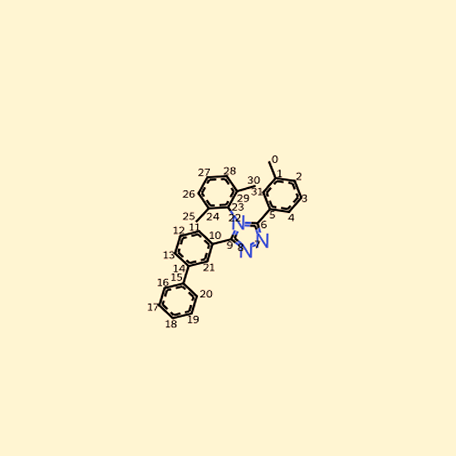 Cc1cccc(-c2nnc(-c3cccc(-c4ccccc4)c3)n2-c2c(C)cccc2C)c1